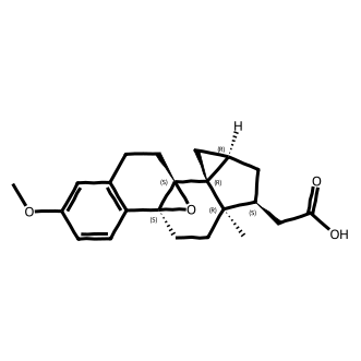 COc1ccc2c(c1)CC[C@@]13O[C@@]21CC[C@]1(C)[C@H](CC(=O)O)C[C@@H]2C[C@]231